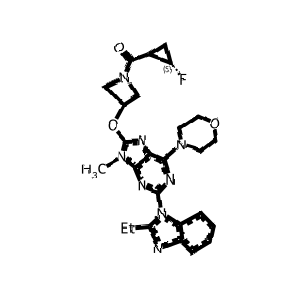 CCc1nc2ccccc2n1-c1nc(N2CCOCC2)c2nc(OC3CN(C(=O)C4C[C@@H]4F)C3)n(C)c2n1